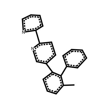 Cc1cccc(-c2ccc(-c3ccccn3)nc2)c1-c1ccccc1